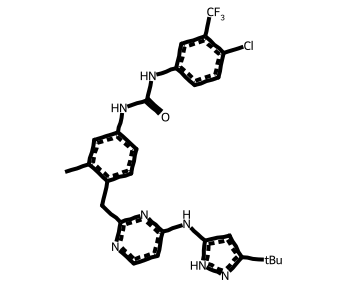 Cc1cc(NC(=O)Nc2ccc(Cl)c(C(F)(F)F)c2)ccc1Cc1nccc(Nc2cc(C(C)(C)C)n[nH]2)n1